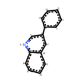 [c]1ccc(-c2cnc3ccccc3c2)cc1